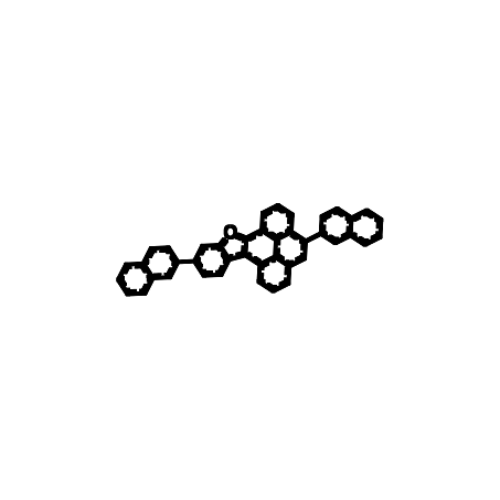 c1ccc2cc(-c3ccc4c(c3)oc3c5cccc6c(-c7ccc8ccccc8c7)cc7cccc(c43)c7c65)ccc2c1